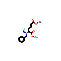 CCCCOC(=O)CCCC(C(=O)OCCCC)N(CCl)Cc1ccccc1